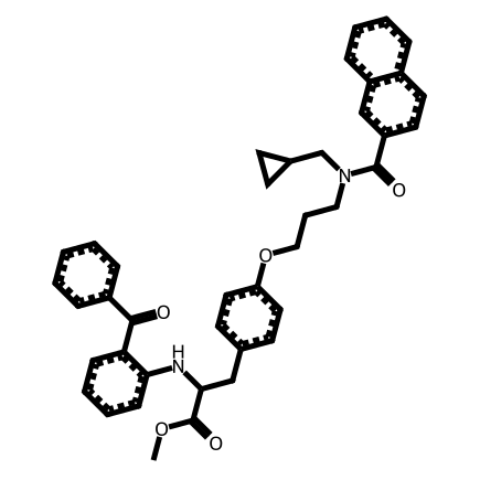 COC(=O)C(Cc1ccc(OCCCN(CC2CC2)C(=O)c2ccc3ccccc3c2)cc1)Nc1ccccc1C(=O)c1ccccc1